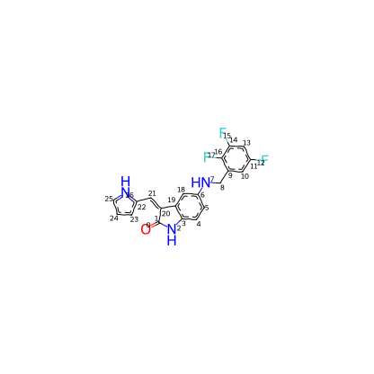 O=C1Nc2ccc(NCc3cc(F)cc(F)c3F)cc2/C1=C/c1ccc[nH]1